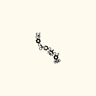 Cc1c(Oc2ccc(S(C)(=O)=O)cc2F)ncnc1OC1CCN(C(=O)COc2ccc(OC(F)(F)F)cc2)CC1